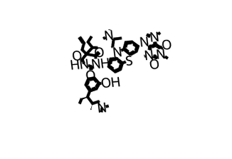 C=CCC1(C(C)CC)C(=O)NC(=O)NC1=O.CC(CN1c2ccccc2Sc2ccccc21)N(C)C.CC[C@@H](c1cccc(O)c1)[C@@H](C)CN(C)C.Cn1c(=O)c2c(ncn2C)n(C)c1=O